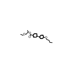 CCCCOc1ccc(-c2ccc(C(=O)OC(C)COCC)cc2)cc1